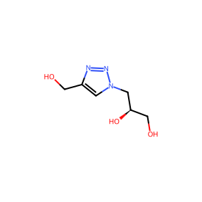 OCc1cn(C[C@H](O)CO)nn1